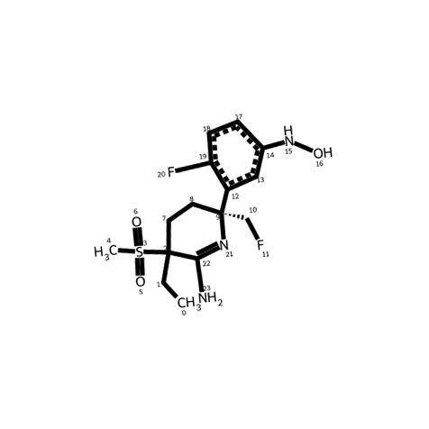 CCC1(S(C)(=O)=O)CC[C@@](CF)(c2cc(NO)ccc2F)N=C1N